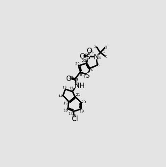 CC(C)(C)N1Cc2sc(C(=O)NC3CCc4cc(Cl)ccc43)cc2S1(=O)=O